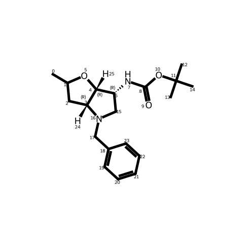 CC1C[C@@H]2[C@H](O1)[C@H](NC(=O)OC(C)(C)C)CN2Cc1ccccc1